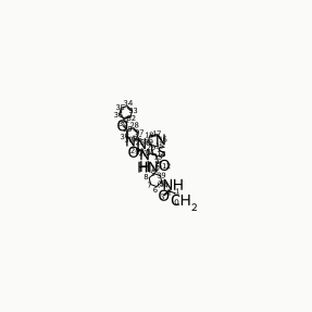 C=CC(=O)N[C@H]1CCCC(NC(=O)c2sc3nccc4c3c2NC(=O)N4c2ccc(Oc3ccccc3)cn2)C1